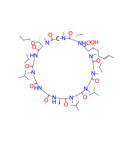 C/C=C/C[C@@H](C)[C@@H](O)[C@H]1C(=O)N[C@@H](CC)C(=O)N(C)CC(=O)N(C)[C@@H]([C@@H](C)OCCC)C(=O)N[C@@H](C(C)C)C(=O)N(C)[C@@H](CC(C)C)C(=O)N[C@@H](C)C(=O)N[C@H](C)C(=O)N(C)[C@@H](CC(C)C)C(=O)N(C)[C@@H](CC(C)C)C(=O)N(C)[C@@H](C(C)C)C(=O)N1C